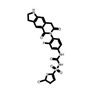 O=C(Nc1ccc(N2C(=O)Cc3cc4c(cc3C2=O)CCN4)c(F)c1)NS(=O)(=O)C1=CCC(Cl)S1